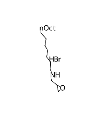 Br.CCCCCCCCCCCCCCCNCC1CO1